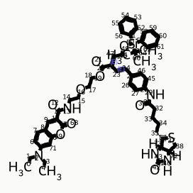 CCN(CC)c1ccc2cc(C(=O)NCCOCCOC(=O)C(/C=C/c3ccc(NC(=O)CCCC[C@@H]4SC[C@@H]5NC(=O)N[C@@H]54)cc3)=C/CO[Si](c3ccccc3)(c3ccccc3)C(C)(C)C)c(=O)oc2c1